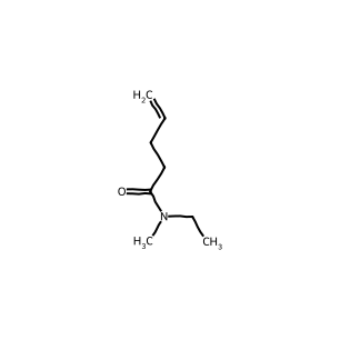 C=CCCC(=O)N(C)CC